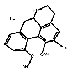 CCCOc1cccc2c1-c1c(OC)c(O)cc3c1C(C2)NCC3.Cl